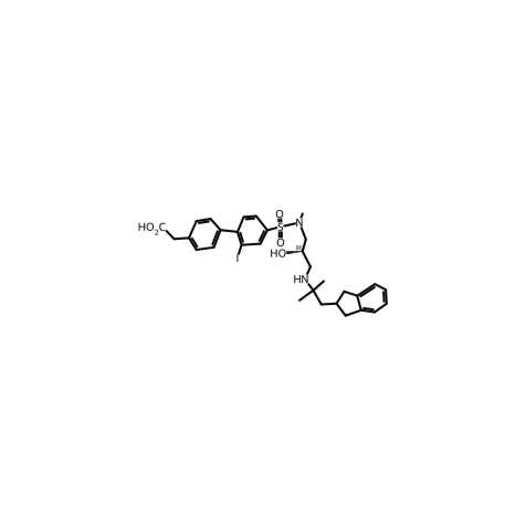 CN(C[C@H](O)CNC(C)(C)CC1Cc2ccccc2C1)S(=O)(=O)c1ccc(-c2ccc(CC(=O)O)cc2)c(I)c1